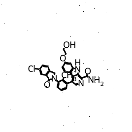 Cc1c(-c2cnc(C(N)=O)c3[nH]c4cc(OCCO)ccc4c23)cccc1N1Cc2ccc(Cl)cc2C1=O